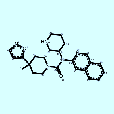 CC1(c2ccno2)CCN(C(=O)N(c2cc3ccccc3cn2)[C@@H]2CCCNC2)CC1